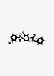 COc1cccc(S(=O)(=O)N2CCN(C(=O)Nc3ccccc3)C[C@@H]2C)c1